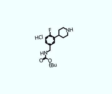 CC(C)(C)OC(=O)NCc1ccc(F)c(C2CCNCC2)c1.Cl